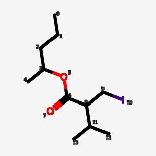 CCCC(C)OC(=O)C(CI)C(C)C